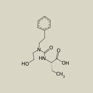 CC[C@H](NC(=O)N(CCO)CCc1ccccc1)C(=O)O